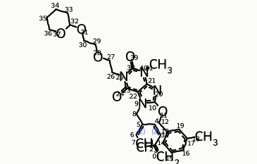 C=C(Cl)/C=C\C(=C/C)Cn1c(OCc2cccc(C)c2)nc2c1c(=O)n(CCOCCOC1CCCCO1)c(=O)n2C